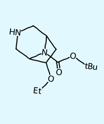 CCOC1CC2CNCC1N2C(=O)OC(C)(C)C